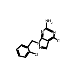 Nc1nc(Cl)c2cnn(Cc3ccccc3Cl)c2n1